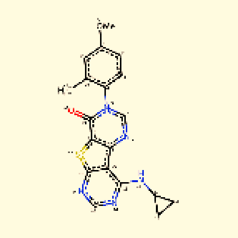 COc1ccc(-n2cnc3c(sc4ncnc(NC5CC5)c43)c2=O)c(C)c1